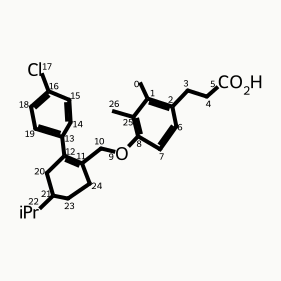 Cc1c(CCC(=O)O)ccc(OCC2=C(c3ccc(Cl)cc3)CC(C(C)C)CC2)c1C